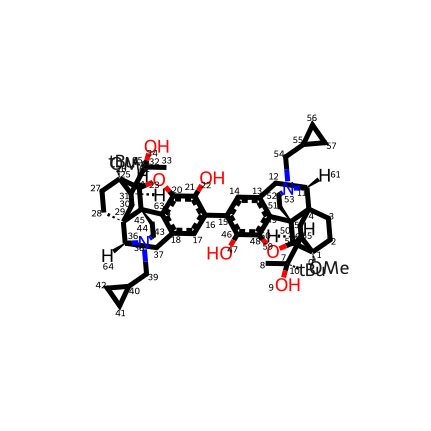 CO[C@@]12CCC3(C[C@@H]1[C@](C)(O)C(C)(C)C)[C@H]1Cc4cc(-c5cc6c7c(c5O)O[C@H]5[C@]8(OC)CC[C@@]9(C[C@@H]8[C@](C)(O)C(C)(C)C)[C@@H](C6)N(CC6CC6)CC[C@]759)c(O)c5c4[C@@]3(CCN1CC1CC1)[C@H]2O5